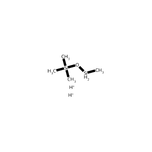 C[SiH2]O[Si](C)(C)C.[H+].[H+]